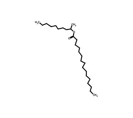 CCCCCCCCCCCCCCCC(=O)OC(C)CCCCCCCC